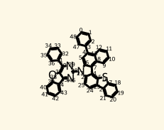 c1ccc(-c2cc3c(c4ccccc24)c2c4sc5ccccc5c4ccc2n3-c2nc(-c3ccccc3)c3oc4ccccc4c3n2)cc1